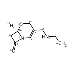 CCNCC1=CN2C(=O)C[C@H]2SC1